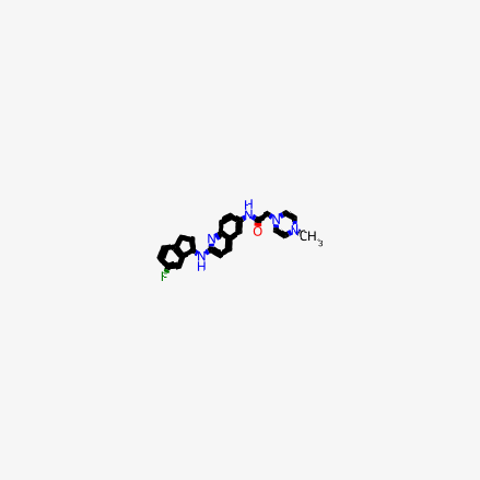 CN1CCN(CC(=O)Nc2ccc3nc(NC4CCc5ccc(F)cc54)ccc3c2)CC1